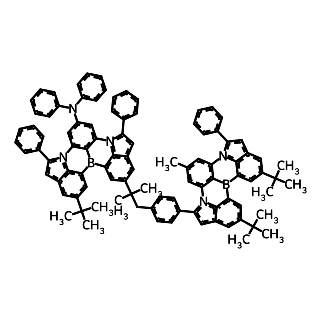 Cc1cc2c3c(c1)-n1c(-c4ccc(CC(C)(C)c5cc6c7c(c5)cc(-c5ccccc5)n7-c5cc(N(c7ccccc7)c7ccccc7)cc7c5B6c5cc(C(C)(C)C)cc6cc(-c8ccccc8)n-7c56)cc4)cc4cc(C(C)(C)C)cc(c41)B3c1cc(C(C)(C)C)cc3cc(-c4ccccc4)n-2c13